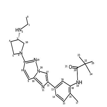 CCN[C@H]1CCN(c2ccc3nc(-c4ccc(C)c(NC(=O)C(C)(C)C)c4)cn3n2)C1